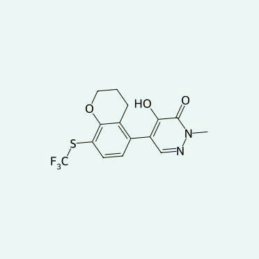 Cn1ncc(-c2ccc(SC(F)(F)F)c3c2CCCO3)c(O)c1=O